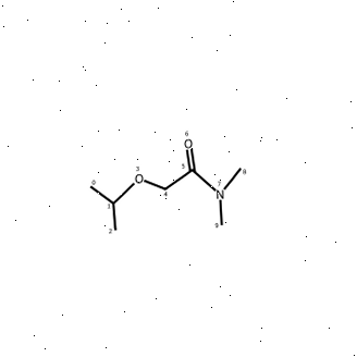 CC(C)OCC(=O)N(C)C